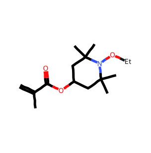 C=C(C)C(=O)OC1CC(C)(C)N(OCC)C(C)(C)C1